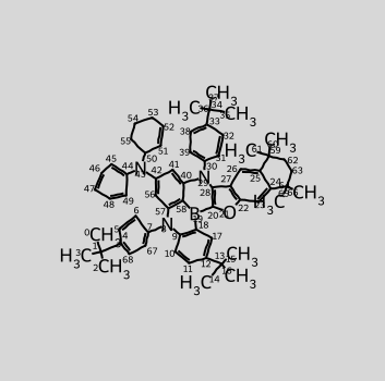 CC(C)(C)c1ccc(N2c3ccc(C(C)(C)C)cc3B3c4oc5cc6c(cc5c4N(c4ccc(C(C)(C)C)cc4)c4cc(N(c5ccccc5)C5C=CCCC5)cc2c43)C(C)(C)CCC6(C)C)cc1